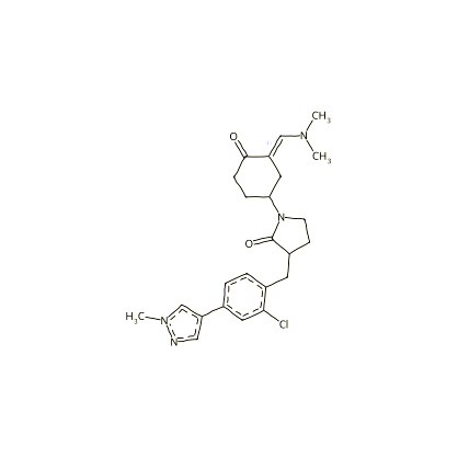 CN(C)/C=C1\CC(N2CCC(Cc3ccc(-c4cnn(C)c4)cc3Cl)C2=O)CCC1=O